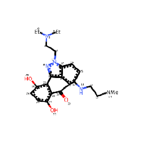 CCN(CC)CCn1nc2c3c(c(NCCNC)ccc31)C(=O)c1c(O)ccc(O)c1-2